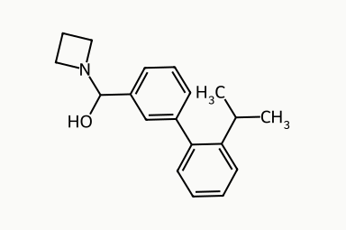 CC(C)c1ccccc1-c1cccc(C(O)N2CCC2)c1